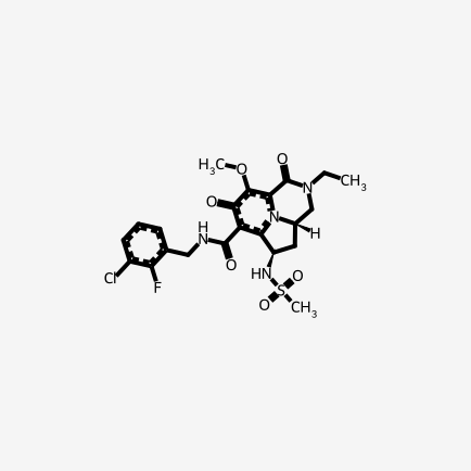 CCN1C[C@@H]2C[C@@H](NS(C)(=O)=O)c3c(C(=O)NCc4cccc(Cl)c4F)c(=O)c(OC)c(n32)C1=O